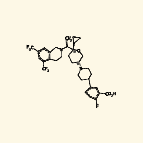 C=C(N1CCc2c(cc(C(F)(F)F)cc2C(F)(F)F)C1)[C@@]1(C2CC2)CC[C@@H](N2CCC(c3ccc(F)c(C(=O)O)c3)CC2)CO1